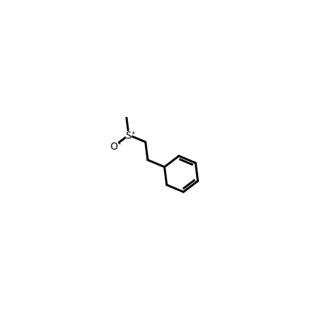 C[S+]([O-])CCC1C=CC=CC1